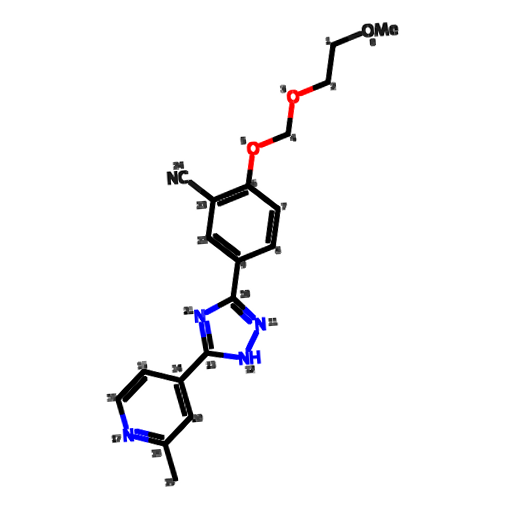 COCCOCOc1ccc(-c2n[nH]c(-c3ccnc(C)c3)n2)cc1C#N